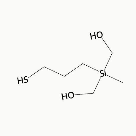 C[Si](CO)(CO)CCCS